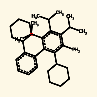 CC(C)c1c(P)c(C2CCCCC2)c(-c2ccccc2C2CCCCC2)c(C(C)C)c1C(C)C